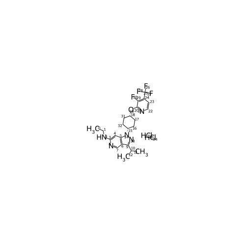 CCNc1cc2c(cn1)c(C(C)C)nn2[C@H]1CC[C@@H](Oc2nccc(C(F)(F)F)c2F)CC1.Cl.Cl